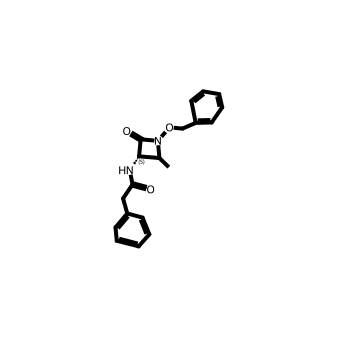 CC1[C@H](NC(=O)Cc2ccccc2)C(=O)N1OCc1ccccc1